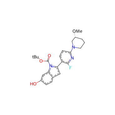 CO[C@@H]1CCCN(c2ccc(-c3cc4ccc(O)cc4n3C(=O)OC(C)(C)C)c(F)n2)C1